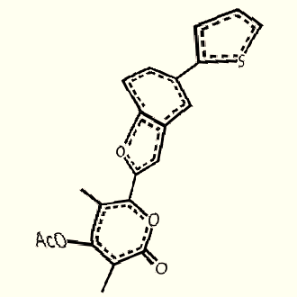 CC(=O)Oc1c(C)c(-c2cc3cc(-c4cccs4)ccc3o2)oc(=O)c1C